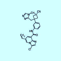 C=Cc1cc(C(=O)Nc2cccc(C3(Cc4nncn4C)CC(C#N)C3)c2)c2ncc(Cl)n2c1